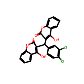 O=c1oc2ccccc2c(O)c1C(c1ccc(Cl)c(Cl)c1)c1c(O)c2ccccc2oc1=O